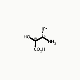 CC(C)[C@H](N)[C@H](O)C(=O)O